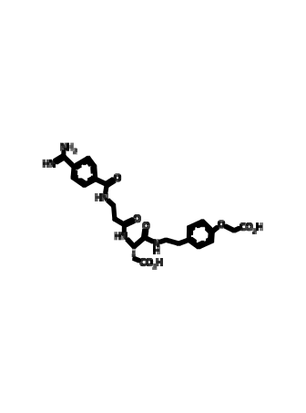 N=C(N)c1ccc(C(=O)NCCC(=O)N[C@@H](CC(=O)O)C(=O)NCCc2ccc(OCC(=O)O)cc2)cc1